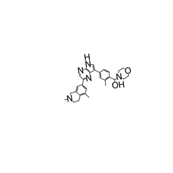 Cc1cc(-c2c[nH]c3ncc(-c4cc(C)c5c(c4)CN(C)CC5)nc23)ccc1C(O)N1CCOCC1